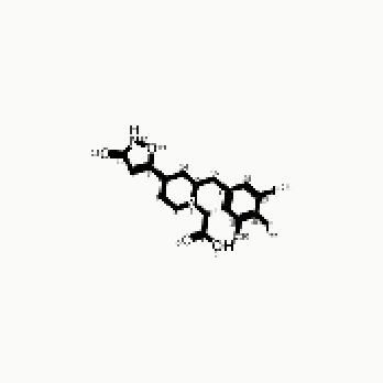 O=C(O)CN1CCC(c2cc(=O)[nH]o2)CC1Cc1cc(F)c(F)c(F)c1